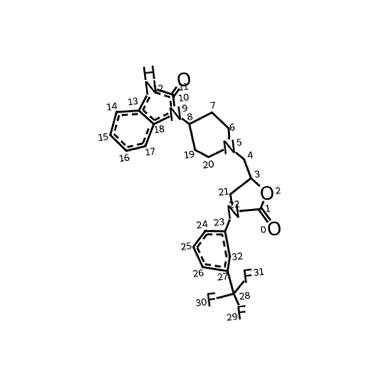 O=C1OC(CN2CCC(n3c(=O)[nH]c4ccccc43)CC2)CN1c1cccc(C(F)(F)F)c1